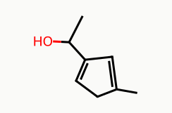 CC1=CC(C(C)O)=CC1